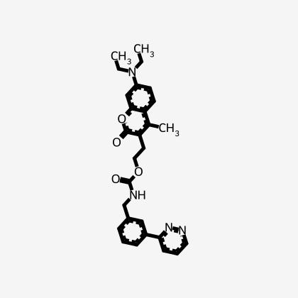 CCN(CC)c1ccc2c(C)c(CCOC(=O)NCc3cccc(-c4cccnn4)c3)c(=O)oc2c1